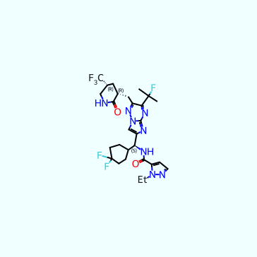 CCn1nccc1C(=O)N[C@H](c1cn2nc(C[C@H]3C[C@@H](C(F)(F)F)CNC3=O)c(C(C)(C)F)nc2n1)C1CCC(F)(F)CC1